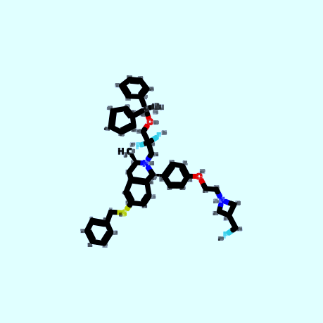 C[C@@H]1Cc2cc(SCc3ccccc3)ccc2[C@@H](c2ccc(OCCN3CC(CF)C3)cc2)N1CC(F)(F)CO[Si](c1ccccc1)(c1ccccc1)C(C)(C)C